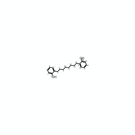 Oc1ccccc1CCCCCCCCc1ccccc1O